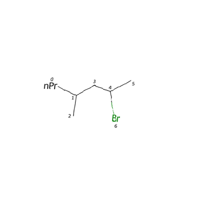 CCCC(C)CC(C)Br